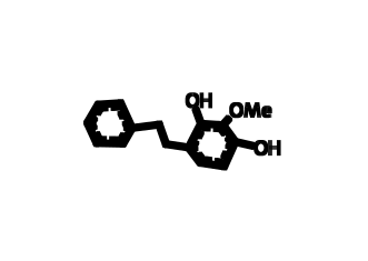 COc1c(O)ccc(CCc2ccccc2)c1O